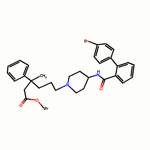 CC(C)OC(=O)CC(C)(CCCN1CCC(NC(=O)c2ccccc2-c2ccc(Br)cc2)CC1)c1ccccc1